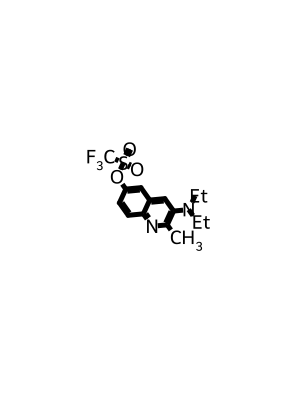 CCN(CC)c1cc2cc(OS(=O)(=O)C(F)(F)F)ccc2nc1C